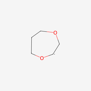 [CH]1COCCCO1